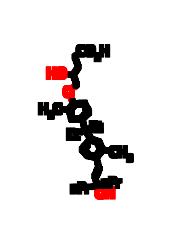 CCCC(O)(C=Cc1ccc(C(CC)(CC)c2ccc(OCC(O)CCC(=O)O)c(C)c2)cc1C)CCC